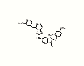 COc1ccc(CN2Cc3cc(Nc4nc5ccnc(Cc6ccnc(OC)c6)n5n4)ccc3C2=O)c(OC)c1